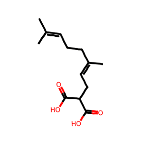 CC(C)=CCCC(C)=CCC(C(=O)O)C(=O)O